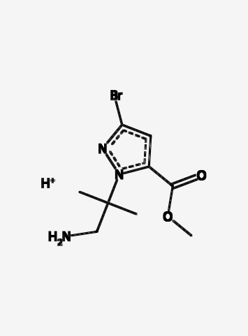 COC(=O)c1cc(Br)nn1C(C)(C)CN.[H+]